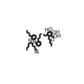 CCCCC(=Nc1ccccc1CCCC)C(CCCC)=Nc1ccccc1CCCC.CCCCCc1c(CC)cc(O)c(O)c1C(=O)O.[Ni]